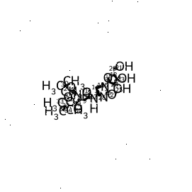 CC(C)(C)OC(=O)N[C@@H](CC(=O)Nc1ccn([C@@H]2O[C@H](CO)[C@@H](O)[C@@H]2O)c(=O)n1)C(=O)OC(C)(C)C